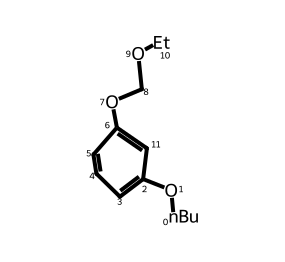 CCCCOc1cc[c]c(OCOCC)c1